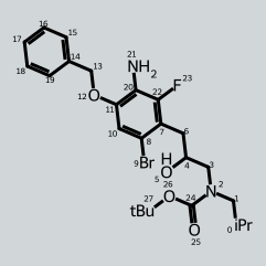 CC(C)CN(CC(O)Cc1c(Br)cc(OCc2ccccc2)c(N)c1F)C(=O)OC(C)(C)C